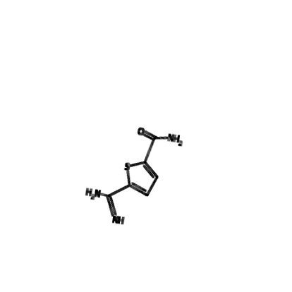 N=C(N)c1ccc(C(N)=O)s1